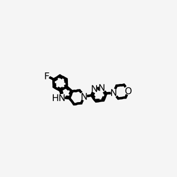 Fc1ccc2c3c([nH]c2c1)CCN(c1ccc(N2CCOCC2)nn1)C3